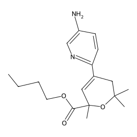 CCCCOC(=O)C1(C)C=C(c2ccc(N)cn2)CC(C)(C)O1